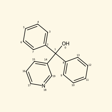 OC(c1ccccc1)(c1ccccc1)c1cccnc1